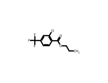 CCCOC(=O)c1ccc(C(F)(F)F)cc1Cl